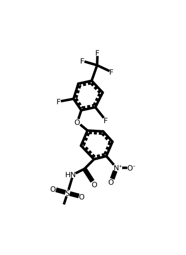 CS(=O)(=O)NC(=O)c1cc(Oc2c(F)cc(C(F)(F)F)cc2F)ccc1[N+](=O)[O-]